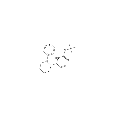 C=CC(NC(=O)OC(C)(C)C)C1CCCCN1c1ccccc1